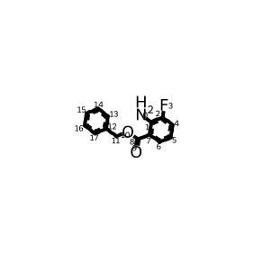 Nc1c(F)cccc1C(=O)OCc1ccccc1